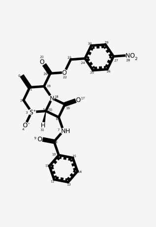 C=C1C[S+]([O-])[C@H]2C(NC(=O)c3ccccc3)C(=O)N2C1C(=O)OCc1ccc([N+](=O)[O-])cc1